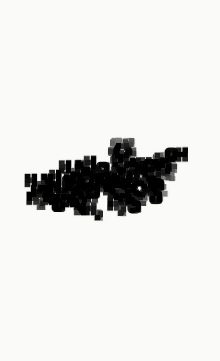 N=C(N)NC(NC(=O)C(NC(=N)N)NC(=O)C(NC(=N)N)NC(=O)C(NC(=N)N)NC(=O)C(NC(=O)C(O)N(Cc1ccc(O)cc1)c1cc(N)c([N+](=O)[O-])cc1[N+](=O)[O-])c1ccccc1)C(N)=O